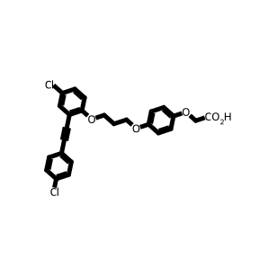 O=C(O)COc1ccc(OCCCOc2ccc(Cl)cc2C#Cc2ccc(Cl)cc2)cc1